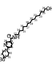 CCC(C)N1CCN(c2ccc(C(=O)NCCCCCCCCCCCCCCCO)cn2)CC1